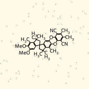 COc1cc2c(c(C)c1OC)C(C)(C)CC21CC(C)(C)c2c1cc1c(c2C)Oc2c(C#N)c(C)c(C)c(C#N)c2O1